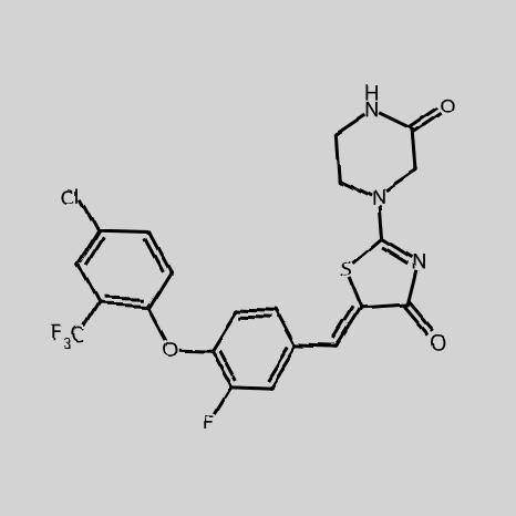 O=C1CN(C2=NC(=O)C(=Cc3ccc(Oc4ccc(Cl)cc4C(F)(F)F)c(F)c3)S2)CCN1